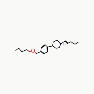 CCC/C=C/C1CCC(c2ccc(COCCCCC)cc2)CC1